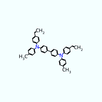 C=Cc1ccc(N(c2ccc(C)cc2)c2ccc(-c3ccc(N(c4ccc(C)cc4)c4ccc(C=C)cc4)cc3)cc2)cc1